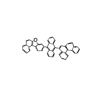 c1ccc2c(c1)ccc1cc(-c3c4ccccc4c(-c4ccc5c(c4)oc4ccc6ccccc6c45)c4ccccc34)c3ccccc3c12